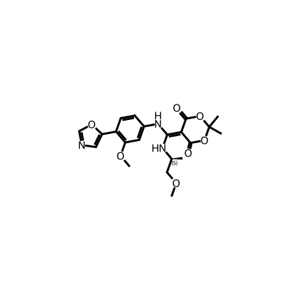 COC[C@H](C)NC(Nc1ccc(-c2cnco2)c(OC)c1)=C1C(=O)OC(C)(C)OC1=O